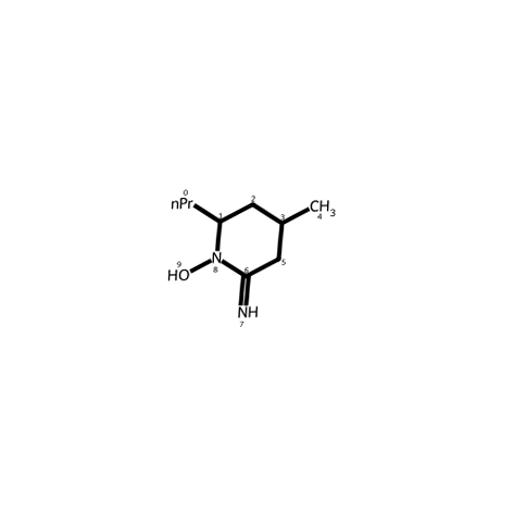 CCCC1CC(C)CC(=N)N1O